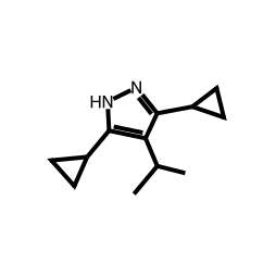 CC(C)c1c(C2CC2)n[nH]c1C1CC1